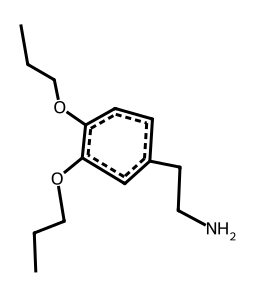 CCCOc1ccc(CCN)cc1OCCC